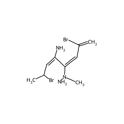 C=C(Br)/C=C(\C(N)=C/C(C)Br)N(C)N